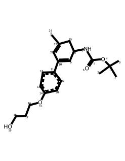 CC(C)(C)OC(=O)NC1C=C(c2ccc(OCCCO)cc2)C=C(I)C1